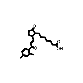 Cc1ccc(C(=O)C=CC2CCC(=O)C2CCCCCCC(=O)O)c(C)c1